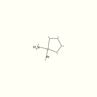 CC(C)C1([SiH3])CCCC1